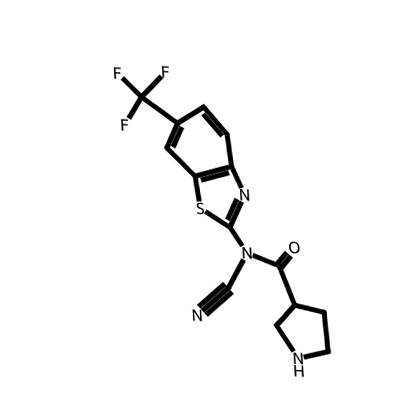 N#CN(C(=O)C1CCNC1)c1nc2ccc(C(F)(F)F)cc2s1